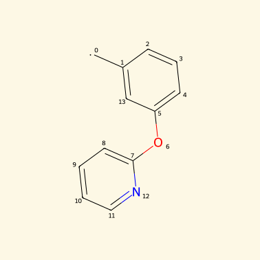 [CH2]c1cccc(Oc2ccccn2)c1